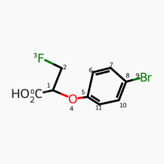 O=C(O)C(CF)Oc1ccc(Br)cc1